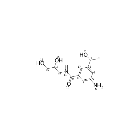 CC(O)c1cc(N)cc(C(=O)NCC(O)CO)c1